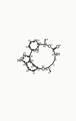 C[C@@H]1CCNC(=O)O[C@H](C)c2nccc(n2)-c2n[nH]c3ccc(cc23)O1